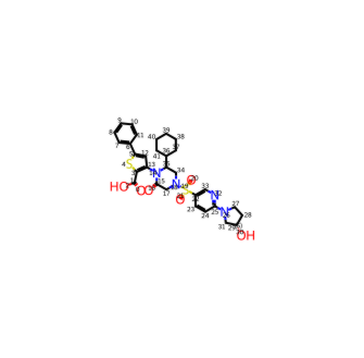 O=C(O)c1sc(-c2ccccc2)cc1N1C(=O)CN(S(=O)(=O)c2ccc(N3CC[C@H](O)C3)nc2)CC1C1CCCCC1